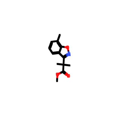 COC(=O)C(C)(C)c1noc2c(C)cccc12